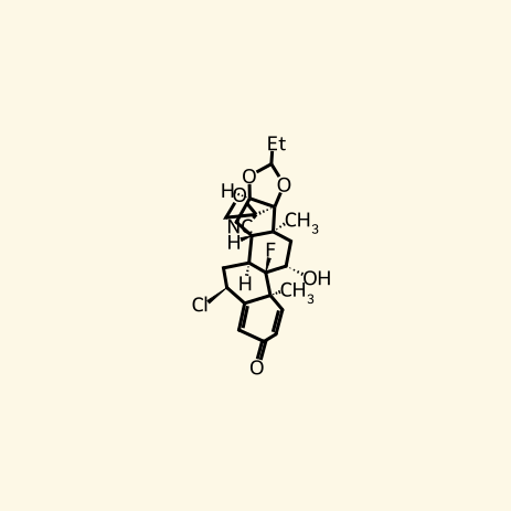 CCC1O[C@@H]2C[C@H]3[C@@H]4C[C@H](Cl)C5=CC(=O)C=C[C@]5(C)[C@@]4(F)[C@@H](O)C[C@]3(C)[C@]2(C2(C#N)CO2)O1